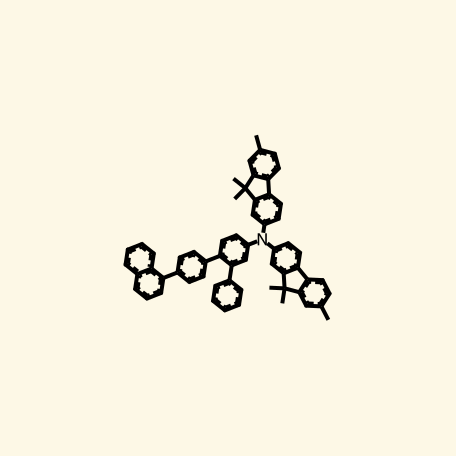 Cc1ccc2c(c1)C(C)(C)c1cc(N(c3ccc(-c4ccc(-c5cccc6ccccc56)cc4)c(-c4ccccc4)c3)c3ccc4c(c3)C(C)(C)c3cc(C)ccc3-4)ccc1-2